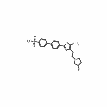 Cc1oc(-c2ccc(-c3ccc(S(C)(=O)=O)cc3)cc2)nc1CCN1CC[C@@H](F)C1